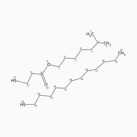 CC(C)CCCCCOC(=O)CCS.CCCCCCCCCCCCS